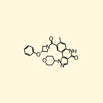 Cc1cc2[nH]c(=O)c3cnn(C4CCOCC4)c3c2cc1C(=O)N1CC(Oc2ccccc2)C1